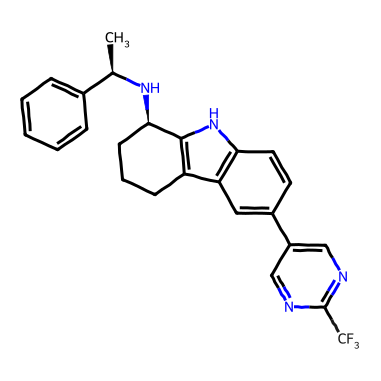 C[C@@H](N[C@@H]1CCCc2c1[nH]c1ccc(-c3cnc(C(F)(F)F)nc3)cc21)c1ccccc1